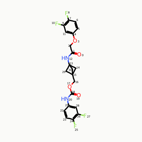 O=C(COc1ccc(F)c(F)c1)NC12CC(COC(=O)Nc3ccc(F)c(F)c3)(C1)C2